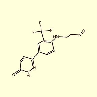 O=NCCNc1ccc(-c2ccc(=O)[nH]n2)cc1C(F)(F)F